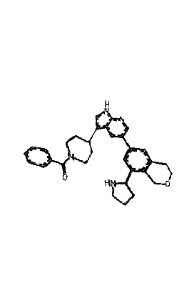 O=C(c1ccccc1)N1CCC(c2c[nH]c3ncc(-c4cc5c(c(C6CCCN6)c4)COCC5)cc23)CC1